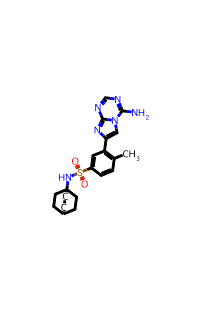 Cc1ccc(S(=O)(=O)NC23CCC(CC2)CC3)cc1-c1cn2c(N)ncnc2n1